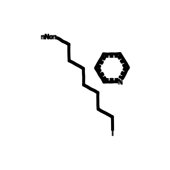 CCCCCCCCCCCCCCCCI.c1ccncc1